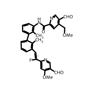 COCc1cc(C(=O)Nc2cccc(-c3cccc(/C=C(\F)c4cc(OC)c(C=O)cn4)c3C)c2C)ncc1C=O